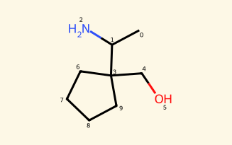 CC(N)C1(CO)CCCC1